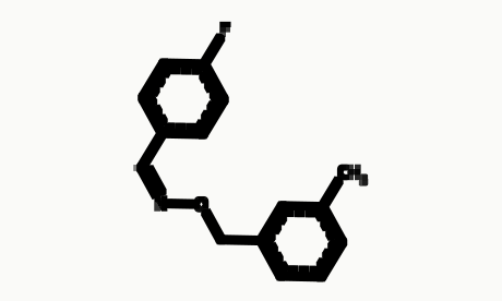 Cc1cccc(CO/N=[C]\c2ccc(F)cc2)c1